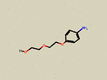 CCOCCOCCOc1ccc(N)cc1